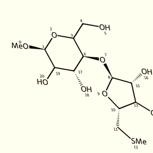 CO[C@H]1OC(CO)[C@@H](O[C@@H]2O[C@@H](CSC)C(O)[C@H]2O)[C@H](O)C1O